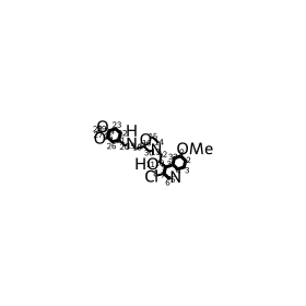 COc1ccc2ncc(Cl)c(C(O)CN3CCOC(CNCc4ccc5c(c4)OCO5)C3)c2c1